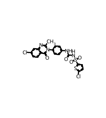 Cc1nc2cc(Cl)ccc2c(=O)n1-c1ccc(NC(=O)NS(=O)(=O)c2ccc(Cl)s2)cc1